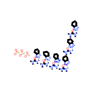 CN(C)C(On1nnc2ccccc21)=[N+](C)C.CN(C)C(On1nnc2ccccc21)=[N+](C)C.CN(C)C(On1nnc2ccccc21)=[N+](C)C.CN(C)C(On1nnc2ccccc21)=[N+](C)C.CN(C)C(On1nnc2ccccc21)=[N+](C)C.CN(C)C(On1nnc2ccccc21)=[N+](C)C.[O-]B([O-])F.[O-]B([O-])F.[O-]B([O-])F